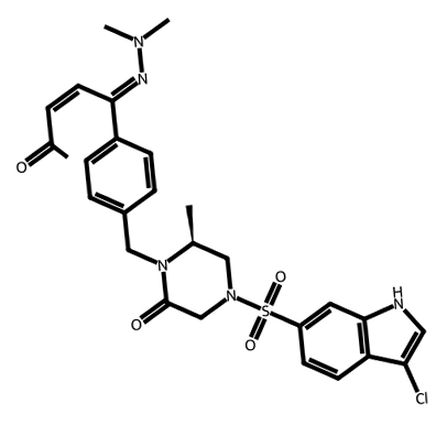 CC(=O)/C=C\C(=N/N(C)C)c1ccc(CN2C(=O)CN(S(=O)(=O)c3ccc4c(Cl)c[nH]c4c3)C[C@@H]2C)cc1